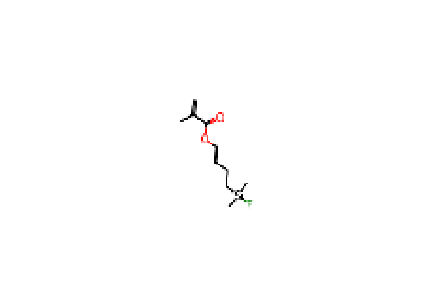 C=C(C)C(=O)OCCCC[Si](C)(C)F